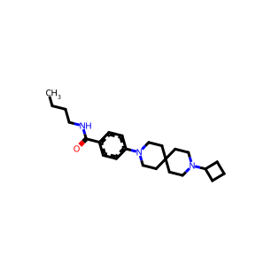 CCCCNC(=O)c1ccc(N2CCC3(CC2)CCN(C2CCC2)CC3)cc1